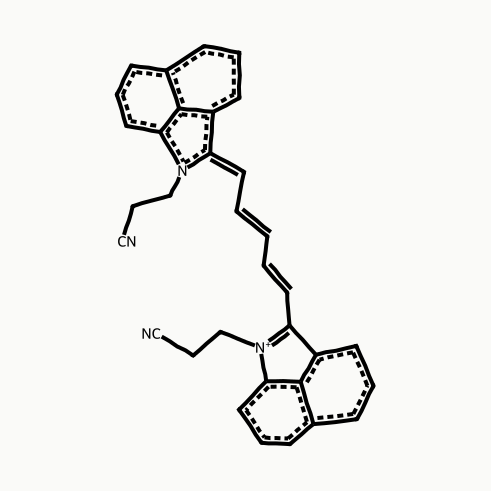 N#CCCn1\c(=C/C=C/C=C/C2=[N+](CCC#N)c3cccc4cccc2c34)c2cccc3cccc1c32